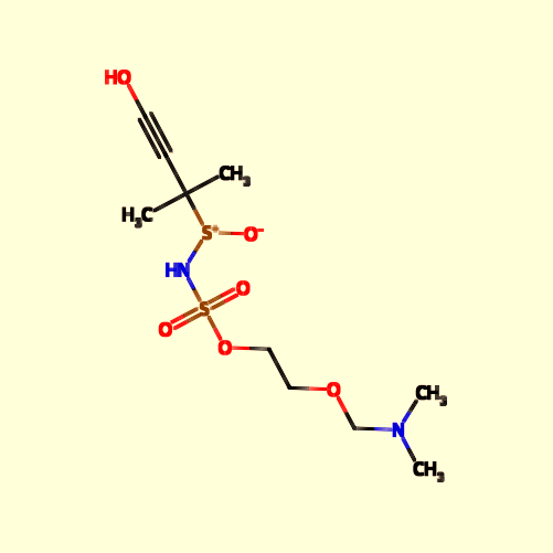 CN(C)COCCOS(=O)(=O)N[S+]([O-])C(C)(C)C#CO